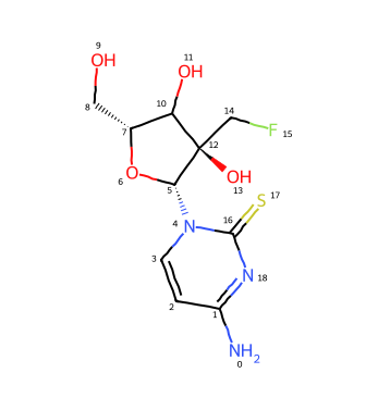 Nc1ccn([C@@H]2O[C@H](CO)C(O)[C@]2(O)CF)c(=S)n1